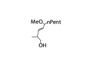 CCCCCC(C=CC(C)CO)OC